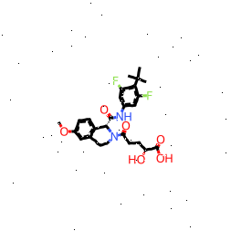 COc1ccc2c(c1)CCN(C(=O)CC[C@H](O)C(=O)O)[C@H]2C(=O)Nc1cc(F)c(C(C)(C)C)c(F)c1